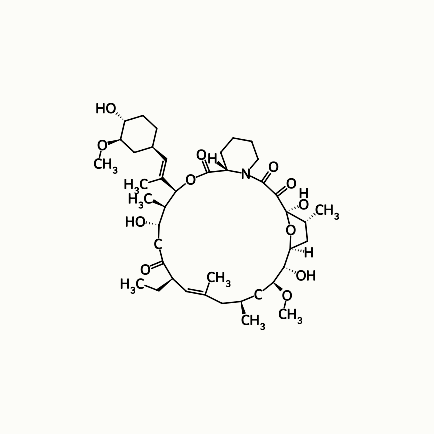 CC[C@@H]1/C=C(\C)C[C@H](C)C[C@H](OC)[C@@H](O)[C@@H]2C[C@@H](C)[C@@](O)(O2)C(=O)C(=O)N2CCCC[C@H]2C(=O)O[C@H](/C(C)=C/[C@@H]2CC[C@@H](O)[C@H](OC)C2)[C@H](C)[C@@H](O)CC1=O